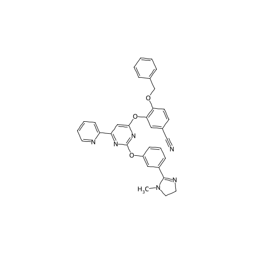 CN1CCN=C1c1cccc(Oc2nc(Oc3cc(C#N)ccc3OCc3ccccc3)cc(-c3ccccn3)n2)c1